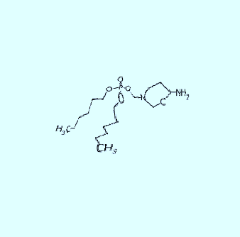 CCCCCCOP(=O)(OCCCCCC)OCN1CCC(N)CC1